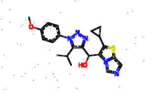 COc1ccc(-n2nnc(C(O)c3c(C4CC4)sc4cncn34)c2C(C)C)cc1